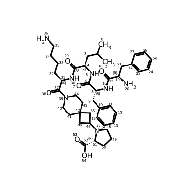 CC(C)C[C@@H](NC(=O)[C@@H](Cc1ccccc1)NC(=O)[C@H](N)Cc1ccccc1)C(=O)N[C@H](CCCCN)C(=O)N1CCC2(CC1)CC(N1CCC[C@@H]1C(=O)O)C2